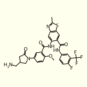 COc1ccc(N2CC(CN)CC2=O)cc1C(=O)Nc1cc2nc(C)sc2cc1C(=O)Nc1ccc(F)c(C(F)(F)F)c1